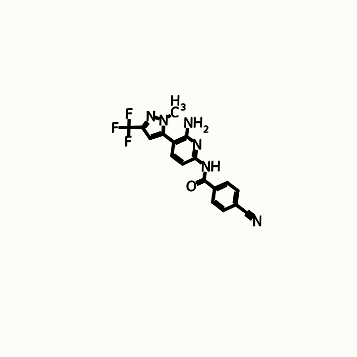 Cn1nc(C(F)(F)F)cc1-c1ccc(NC(=O)c2ccc(C#N)cc2)nc1N